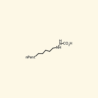 CCCCCCCCCCNNC(=O)O